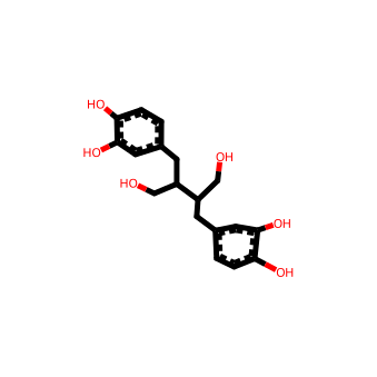 OCC(Cc1ccc(O)c(O)c1)C(CO)Cc1ccc(O)c(O)c1